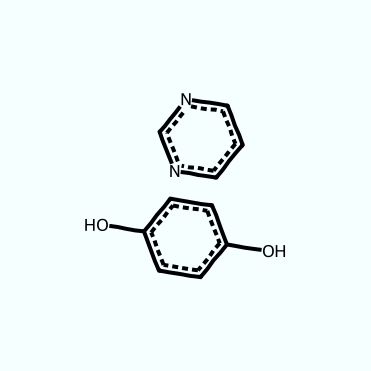 Oc1ccc(O)cc1.c1cncnc1